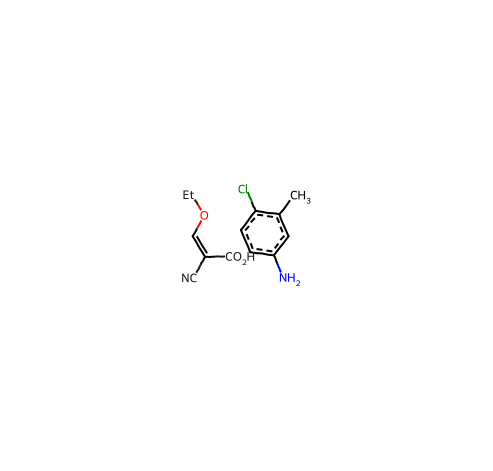 CCOC=C(C#N)C(=O)O.Cc1cc(N)ccc1Cl